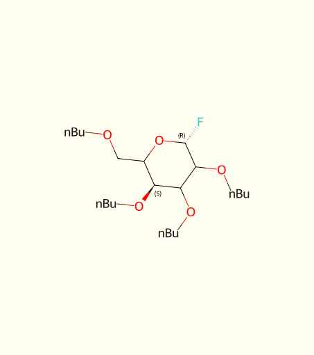 CCCCOCC1O[C@H](F)C(OCCCC)C(OCCCC)[C@H]1OCCCC